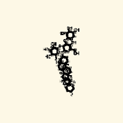 C[C@@H]1CC[C@@]2(OC1)O[C@H]1C[C@H]3[C@@H]4CC[C@H]5C[C@@H](O[C@@H]6O[C@H](CO)[C@H](O)[C@H](O[C@@H]7OC[C@@H](O)[C@H](O)[C@H]7O)[C@H]6O[C@@H]6O[C@@H](C)[C@H](O)[C@@H](O)[C@H]6O)CC[C@]5(C)[C@H]4CC[C@]3(C)[C@H]1[C@@H]2C